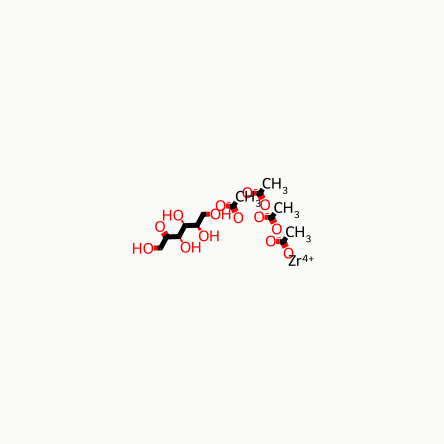 CC(=O)[O-].CC(=O)[O-].CC(=O)[O-].CC(=O)[O-].O=C(CO)[C@@H](O)[C@H](O)[C@H](O)CO.[Zr+4]